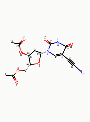 CC(=O)OC[C@H]1O[C@@H](n2cc(C#CI)c(=O)[nH]c2=O)C[C@@H]1OC(C)=O